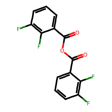 O=C(OC(=O)c1cccc(F)c1F)c1cccc(F)c1F